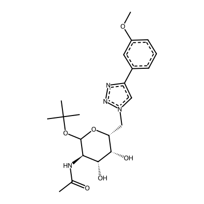 COc1cccc(-c2cn(C[C@H]3OC(OC(C)(C)C)[C@H](NC(C)=O)[C@@H](O)[C@H]3O)nn2)c1